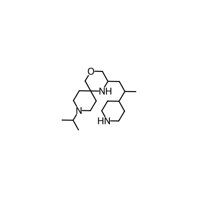 CC(CC1COCC2(CCN(C(C)C)CC2)N1)C1CCNCC1